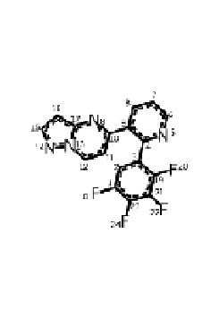 Fc1cc(-c2ncccc2-c2ccn3nccc3n2)c(F)c(F)c1F